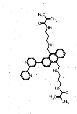 C=C(C)C(=O)NCCCNCc1c2ccccc2c(CNCCCNC(=O)C(=C)C)c2cc(-c3ccnc(-c4ccccn4)c3)ccc12